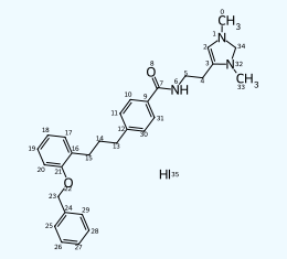 CN1C=C(CCNC(=O)c2ccc(CCCc3ccccc3OCc3ccccc3)cc2)N(C)C1.I